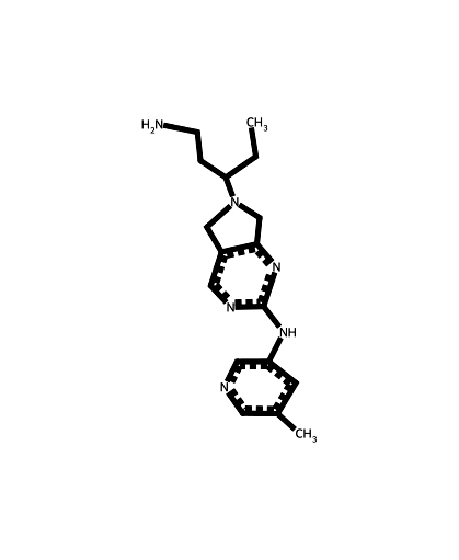 CCC(CCN)N1Cc2cnc(Nc3cncc(C)c3)nc2C1